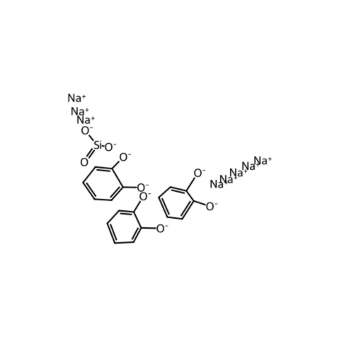 O=[Si]([O-])[O-].[Na+].[Na+].[Na+].[Na+].[Na+].[Na+].[Na+].[Na+].[O-]c1ccccc1[O-].[O-]c1ccccc1[O-].[O-]c1ccccc1[O-]